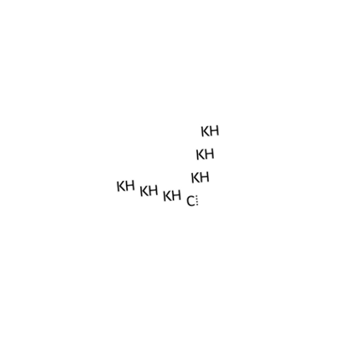 [C].[KH].[KH].[KH].[KH].[KH].[KH]